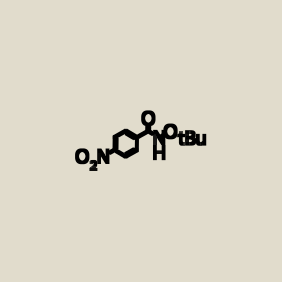 CC(C)(C)ONC(=O)c1ccc([N+](=O)[O-])cc1